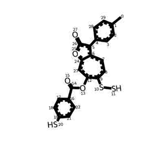 Cc1ccc(-c2c3ccc(SS)c(OC(=O)c4ccc(S)cc4)cc-3oc2=O)cc1